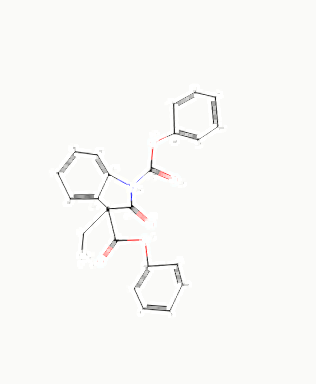 N#CCC1(C(=O)Oc2ccccc2)C(=O)N(C(=O)Oc2ccccc2)c2ccccc21